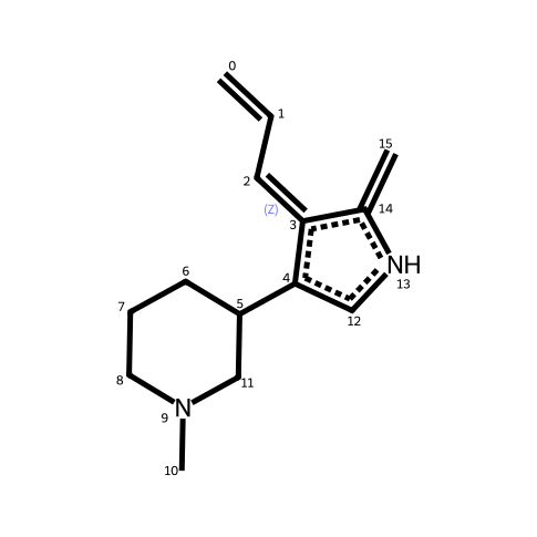 C=C/C=c1/c(C2CCCN(C)C2)c[nH]c1=C